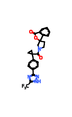 O=C1OC2(CCN(C(=O)C3(c4ccc(-c5n[nH]c(C(F)(F)F)n5)cc4)CC3)C2)c2ccccc21